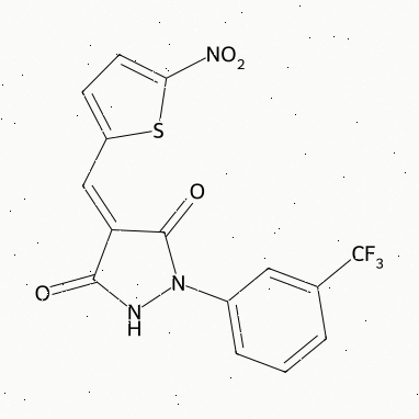 O=C1NN(c2cccc(C(F)(F)F)c2)C(=O)C1=Cc1ccc([N+](=O)[O-])s1